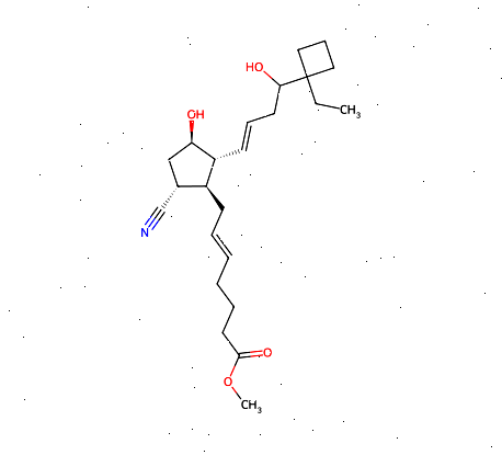 CCC1(C(O)C/C=C/[C@@H]2[C@@H](C/C=C/CCCC(=O)OC)[C@H](C#N)C[C@H]2O)CCC1